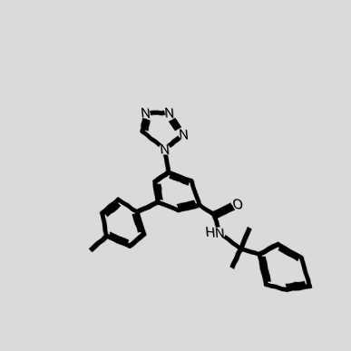 Cc1ccc(-c2cc(C(=O)NC(C)(C)c3ccccc3)cc(-n3cnnn3)c2)cc1